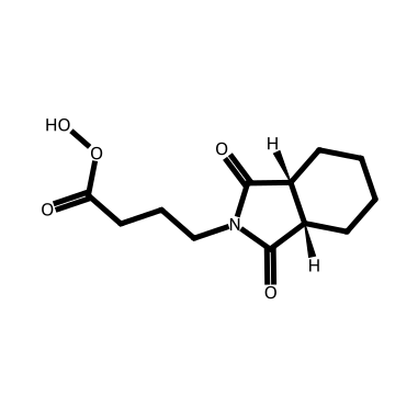 O=C(CCCN1C(=O)[C@H]2CCCC[C@H]2C1=O)OO